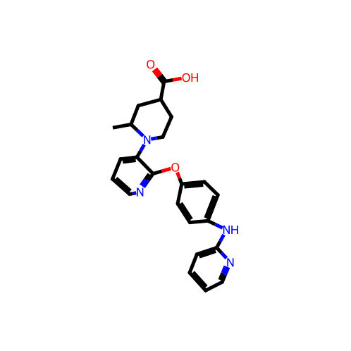 CC1CC(C(=O)O)CCN1c1cccnc1Oc1ccc(Nc2ccccn2)cc1